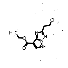 CCCc1nc2c(C(=O)OCC)c[nH]n2n1